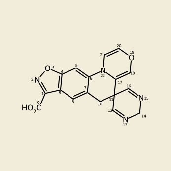 O=C(O)c1noc2cc3c(cc12)CC1(C=NCN=C1)C1=COC=CN13